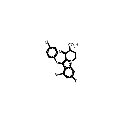 O=C(O)C1CCn2c(c(Sc3ccc(Cl)cc3)c3c(Br)cc(F)cc32)C1=O